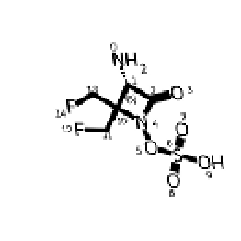 N[C@@H]1C(=O)N(OS(=O)(=O)O)C1(CF)CF